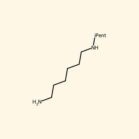 CCCC(C)NCCCCCCN